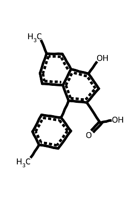 Cc1ccc(-c2c(C(=O)O)cc(O)c3cc(C)ccc23)cc1